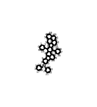 c1ccc(-c2c3cc4c5ccc(N(c6ccccc6)c6ccccc6)cc5c5cccc(c3c(-c3ccccc3)c3c6ccc7ccc8cccc9cc(c23)c6c7c89)c54)cc1